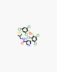 CC(CS)CNC(=O)c1cccnc1.Clc1cc(Cl)c(SOSc2c(Cl)cc(Cl)cc2Cl)c(Cl)c1